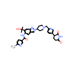 CC(C)(O)c1cc2nn(C3CCN(Cc4ccc(C5CCC(=O)NC5=O)cn4)CC3)cc2cc1NC(=O)c1ccc(C(F)(F)F)nc1